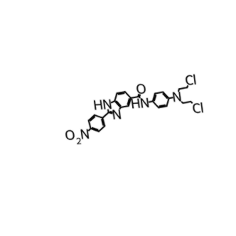 O=C(Nc1ccc(N(CCCl)CCCl)cc1)c1ccc2[nH]c(-c3ccc([N+](=O)[O-])cc3)nc2c1